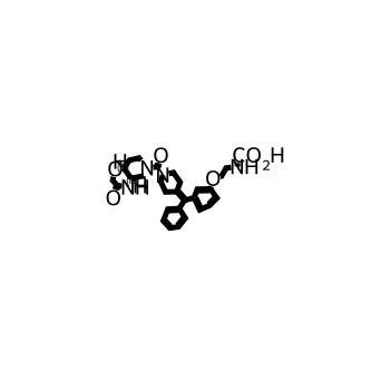 O=C(O)NCCOc1cccc(C(=C2CCN(C(=O)N3CC[C@@H]4OCC(=O)N[C@@H]4C3)CC2)c2ccccc2)c1